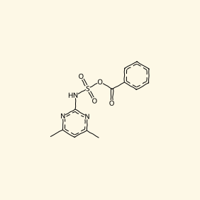 Cc1cc(C)nc(NS(=O)(=O)OC(=O)c2ccccc2)n1